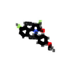 COc1ccc(F)c(OC)c1C1CC(F)C(=O)N1Cc1ccc(OC(F)(F)F)cc1